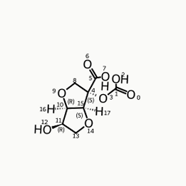 O=C(O)O[C@@]1(C(=O)O)CO[C@@H]2[C@H](O)CO[C@@H]21